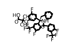 CC(C)(Oc1cc(F)cc([C@](Cc2ccccc2)(NC(=O)c2ccc(F)c(C(F)(F)F)c2)c2ccc(F)c(C(F)(F)F)c2)c1)C(=O)O